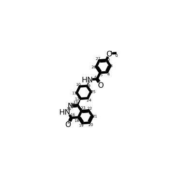 COc1ccc(C(=O)N[C@H]2CC[C@H](c3n[nH]c(=O)c4ccccc43)CC2)cc1